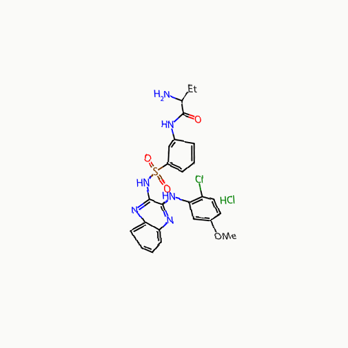 CCC(N)C(=O)Nc1cccc(S(=O)(=O)Nc2nc3ccccc3nc2Nc2cc(OC)ccc2Cl)c1.Cl